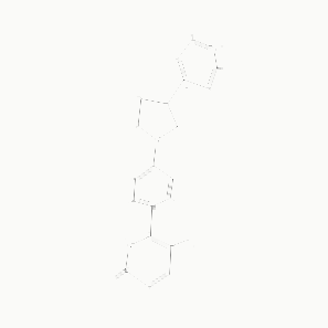 CCc1ccc(=O)[nH]c1-c1ccc(N2CCC(c3ccncc3)C2)cc1